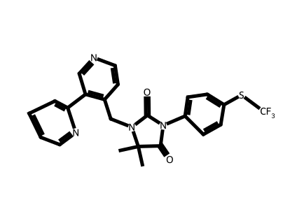 CC1(C)C(=O)N(c2ccc(SC(F)(F)F)cc2)C(=O)N1Cc1ccncc1-c1ccccn1